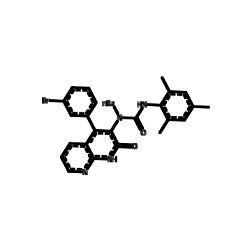 CCCCN(C(=O)Nc1c(C)cc(C)cc1C)c1c(-c2cccc(Br)c2)c2cccnc2[nH]c1=O